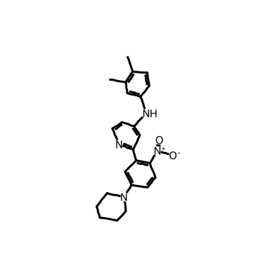 Cc1ccc(Nc2ccnc(-c3cc(N4CCCCC4)ccc3[N+](=O)[O-])c2)cc1C